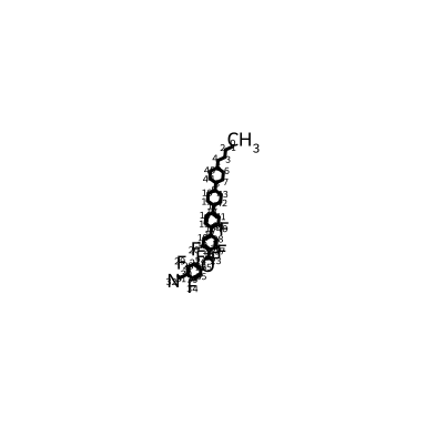 CCCCCC1CCC(C2CCC(c3ccc(-c4cc(F)c(C(F)(F)Oc5cc(F)c(C#N)c(F)c5)c(F)c4)c(F)c3)CC2)CC1